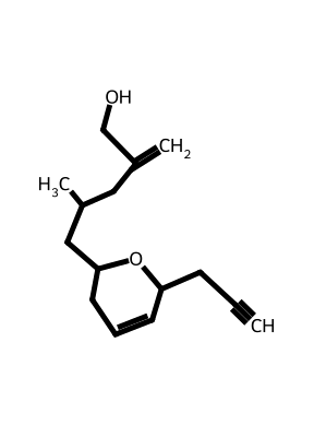 C#CCC1C=CCC(CC(C)CC(=C)CO)O1